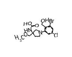 COCC1(NC(=O)O)CCN(c2cc(Cl)cc(Br)c2CO)C1